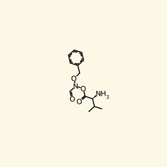 CC(C)[C@H](N)C(=O)ON(C=O)OCc1ccccc1